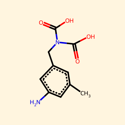 Cc1cc(N)cc(CN(C(=O)O)C(=O)O)c1